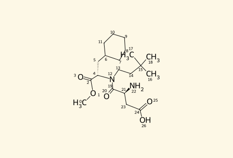 COC(=O)[C@H](CC1CCCCC1)N(CCC(C)(C)C)C(=O)[C@@H](N)CC(=O)O